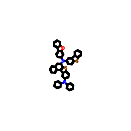 c1ccc(N(c2ccccc2)c2ccc3sc4c(N(c5ccc6c(c5)oc5ccccc56)c5ccc6sc7ccccc7c6c5)cc5ccccc5c4c3c2)cc1